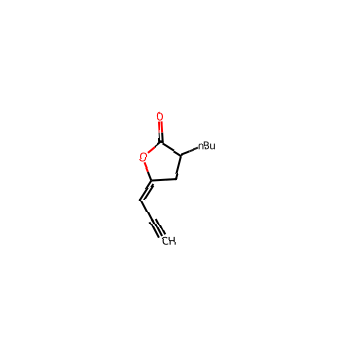 C#C/C=C1\CC(CCCC)C(=O)O1